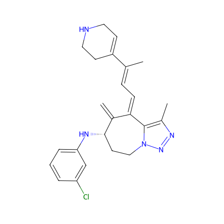 C=C1/C(=C\C=C(/C)C2=CCNCC2)c2c(C)nnn2CC[C@@H]1Nc1cccc(Cl)c1